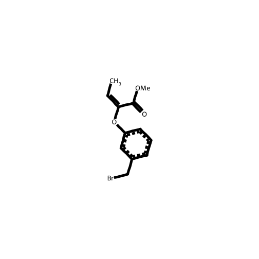 CC=C(Oc1cccc(CBr)c1)C(=O)OC